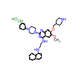 COc1cc2c(NCCNc3cccc4ccccc34)nc(N3CCN(c4ccccc4)CC3)nc2cc1OCC1CCNCC1.Cl.Cl